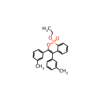 CCOP1(=O)OC(c2cccc(C)c2)=C(c2cccc(C)c2)c2ccccc21